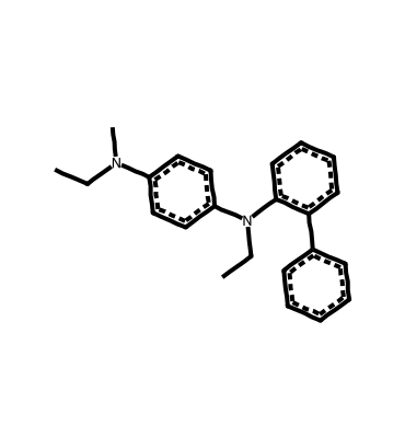 CCN(C)c1ccc(N(CC)c2ccccc2-c2ccccc2)cc1